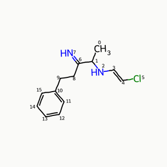 CC(NC=CCl)C(=N)CCc1ccccc1